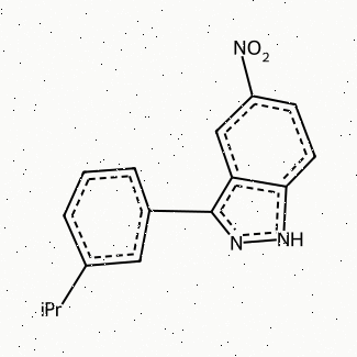 CC(C)c1cccc(-c2n[nH]c3ccc([N+](=O)[O-])cc23)c1